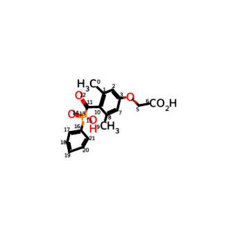 Cc1cc(OCC(=O)O)cc(C)c1C(=O)P(=O)(O)c1ccccc1